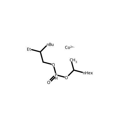 CCCCCCC(C)O[PH](=O)OCC(CC)CCCC.[Co+2]